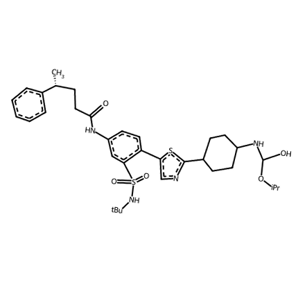 CC(C)OC(O)NC1CCC(c2ncc(-c3ccc(NC(=O)CC[C@@H](C)c4ccccc4)cc3S(=O)(=O)NC(C)(C)C)s2)CC1